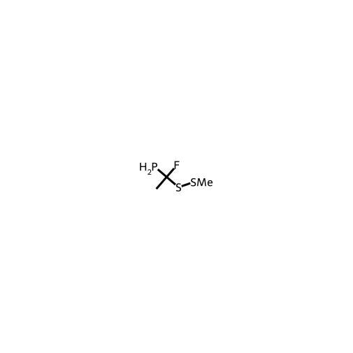 CSSC(C)(F)P